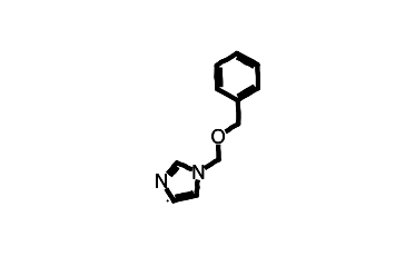 [c]1cn(COCc2ccccc2)cn1